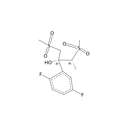 C[C@H]([C@](O)(CS(C)(=O)=O)c1cc(F)ccc1F)S(C)(=O)=O